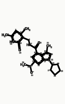 Cc1cc(C)c(CNC(=O)c2cc([S+](C)[O-])cc3c2c(C)cn3C2CCCC2)c(=O)[nH]1